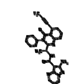 CC(NC(=O)c1c(N)nn2cccnc12)c1nc2cccc(C#CC(F)(F)F)c2c(=O)n1-c1ccccc1